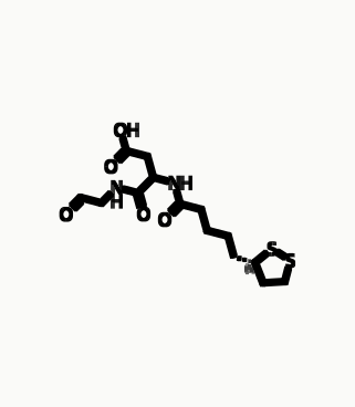 O=CCNC(=O)C(CC(=O)O)NC(=O)CCCC[C@H]1CCSS1